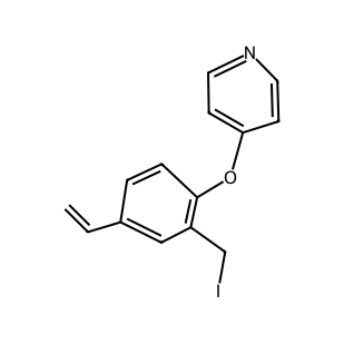 C=Cc1ccc(Oc2ccncc2)c(CI)c1